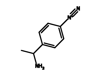 CC(N)c1ccc([N+]#N)cc1